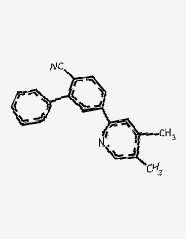 Cc1cnc(-c2ccc(C#N)c(-c3ccccc3)c2)cc1C